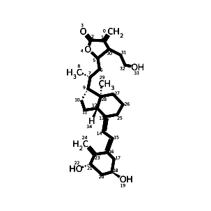 C=C1C(=O)OC(C[C@@H](C)[C@H]2CC[C@H]3/C(=C/C=C4/C[C@@H](O)C[C@H](O)C4=C)CCC[C@]23C)C1CCO